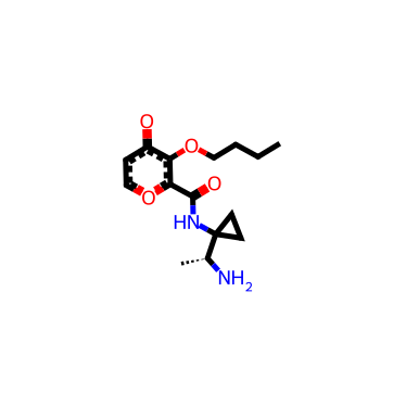 CCCCOc1c(C(=O)NC2([C@@H](C)N)CC2)occc1=O